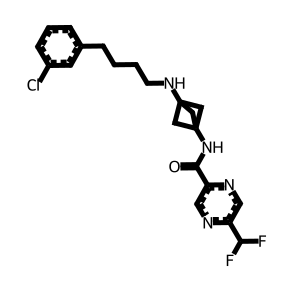 O=C(NC12CC(NCCCCc3cccc(Cl)c3)(C1)C2)c1cnc(C(F)F)cn1